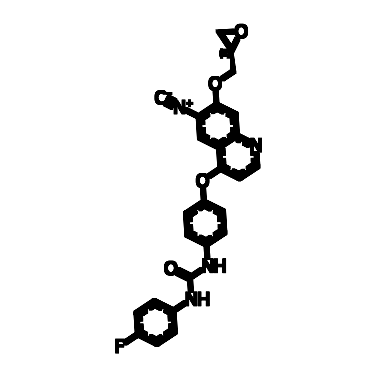 [C-]#[N+]c1cc2c(Oc3ccc(NC(=O)Nc4ccc(F)cc4)cc3)ccnc2cc1OC[C@H]1CO1